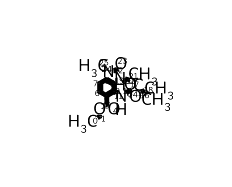 CCOC(=O)c1ccc2c(c1NC(=O)OC(C)(C)C)n(CC)c(=O)n2C